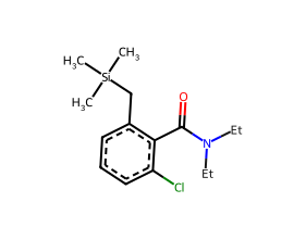 CCN(CC)C(=O)c1c(Cl)cccc1C[Si](C)(C)C